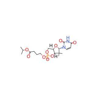 CC(C)OC(=O)CCCO[P@@]1(=O)OC[C@H]2O[C@@H](n3ccc(=O)[nH]c3=O)C(C)(C)[C@@H]2O1